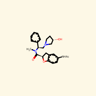 CC(=O)Nc1ccc2c(c1)C[C@H](C(=O)N(C)[C@H](CN1CC[C@H](O)C1)c1ccccc1)O2